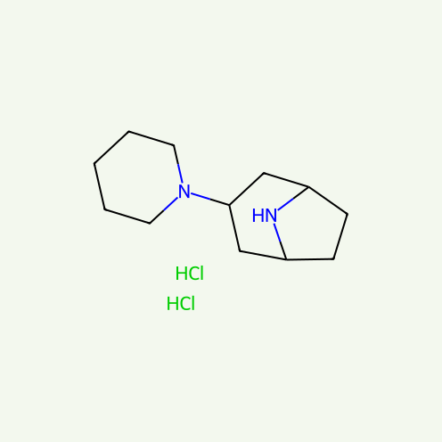 C1CCN(C2CC3CCC(C2)N3)CC1.Cl.Cl